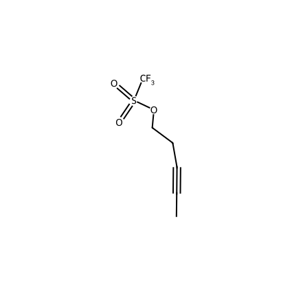 CC#CCCOS(=O)(=O)C(F)(F)F